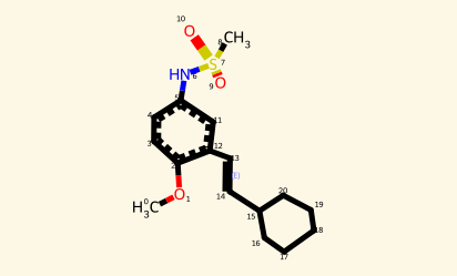 COc1ccc(NS(C)(=O)=O)cc1/C=C/C1CCCCC1